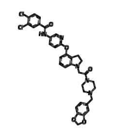 O=C(Nc1ccc(Oc2cccc3c2CCN3CC(=O)N2CCN(Cc3ccc4c(c3)OCO4)CC2)nc1)c1ccc(Cl)c(Cl)c1